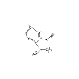 CC(=O)[C@@H](C)c1ccccc1CC(C)C